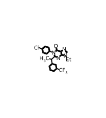 CCn1cnc2c(=O)n(-c3ccc(Cl)cc3)c(C(C)c3cccc(C(F)(F)F)c3)nc21